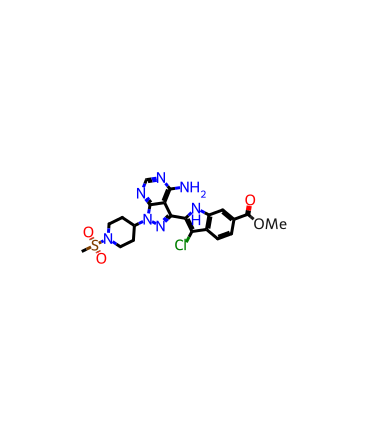 COC(=O)c1ccc2c(Cl)c(-c3nn(C4CCN(S(C)(=O)=O)CC4)c4ncnc(N)c34)[nH]c2c1